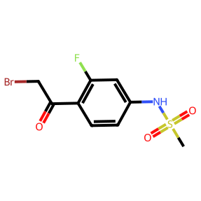 CS(=O)(=O)Nc1ccc(C(=O)CBr)c(F)c1